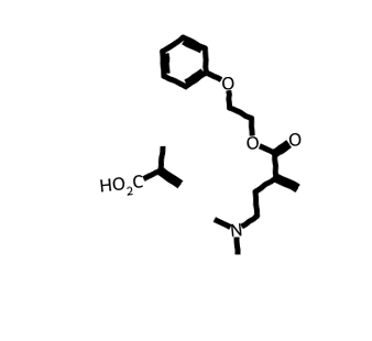 C=C(C)C(=O)O.C=C(CCN(C)C)C(=O)OCCOc1ccccc1